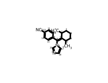 CC1CCCC(C)C1=C(c1ccc(C#N)cc1)n1ccnc1